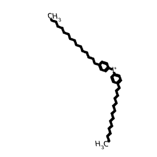 CCCCCCCCCCCCCCCCc1ccc([I+]c2ccc(CCCCCCCCCCCCCCCC)cc2)cc1